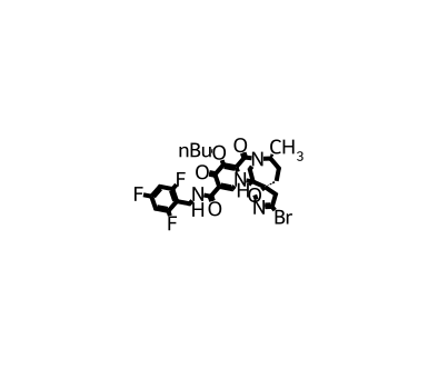 CCCCOc1c2n(cc(C(=O)NCc3c(F)cc(F)cc3F)c1=O)[C@@H]1CN(C2=O)[C@@H](C)CC[C@@]12CC(Br)=NO2